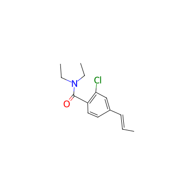 CC=Cc1ccc(C(=O)N(CC)CC)c(Cl)c1